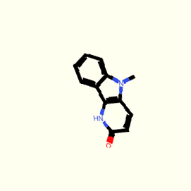 Cn1c2ccccc2c2[nH]c(=O)ccc21